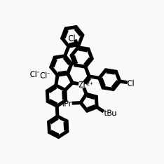 CC(C)C1C=C(C(C)(C)C)C=[C]1[Zr+2](=[C](c1ccc(Cl)cc1)c1ccc(Cl)cc1)[CH]1c2cc(-c3ccccc3)ccc2-c2ccc(-c3ccccc3)cc21.[Cl-].[Cl-]